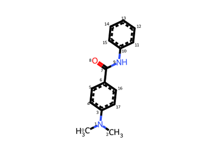 CN(C)c1ccc(C(=O)Nc2ccccc2)cc1